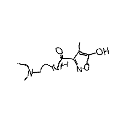 CCN(C)CCNC(=O)c1noc(O)c1C